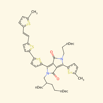 CCCCCCCCCCCCC(CCCCCCCCCC)CN1C(=O)C2=C(c3ccc(C)s3)N(CCCCCCCCCCCC)C(=O)C2=C1c1ccc(-c2ccc(/C=C/c3ccc(C)s3)s2)s1